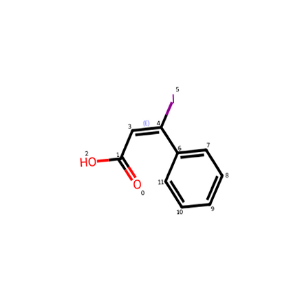 O=C(O)/C=C(/I)c1ccccc1